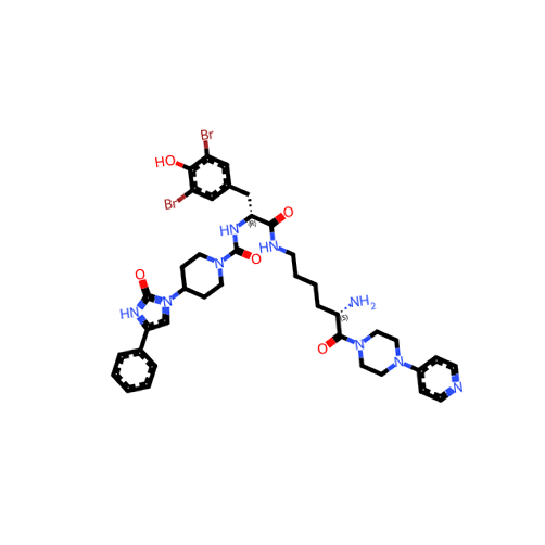 N[C@@H](CCCCNC(=O)[C@@H](Cc1cc(Br)c(O)c(Br)c1)NC(=O)N1CCC(n2cc(-c3ccccc3)[nH]c2=O)CC1)C(=O)N1CCN(c2ccncc2)CC1